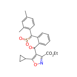 CCOC(=O)c1noc(C2CC2)c1C(=O)c1ccccc1C(c1ccc(C)cc1C)=S(=O)=O